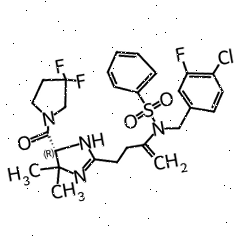 C=C(CCC1=NC(C)(C)[C@H](C(=O)N2CCC(F)(F)C2)N1)N(Cc1ccc(Cl)c(F)c1)S(=O)(=O)c1ccccc1